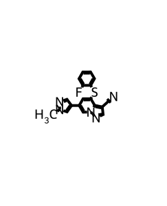 Cn1cc(-c2cc(Sc3ccccc3F)c3c(C#N)cnn3c2)cn1